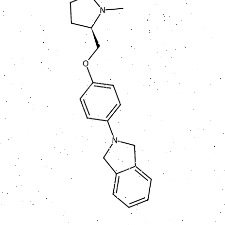 CN1CCC[C@@H]1COc1ccc(N2Cc3ccccc3C2)cc1